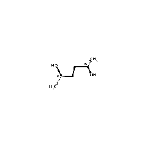 C[C@H](O)CC[C@H](C)O